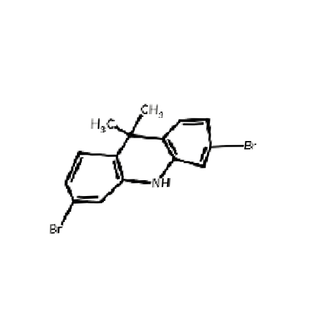 CC1(C)c2ccc(Br)cc2Nc2cc(Br)ccc21